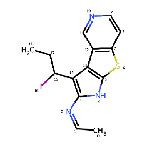 C/C=N\c1[nH]c2sc3ccncc3c2c1C(I)CC